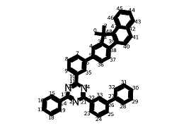 CC1(C)c2cc(-c3cccc(-c4nc(-c5ccccc5)nc(-c5cccc(-c6ccccc6)c5)n4)c3)ccc2-c2ccc3ccccc3c21